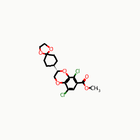 COC(=O)c1cc(Cl)c2c(c1Cl)O[C@@H](C1CCC3(CC1)OCCO3)CO2